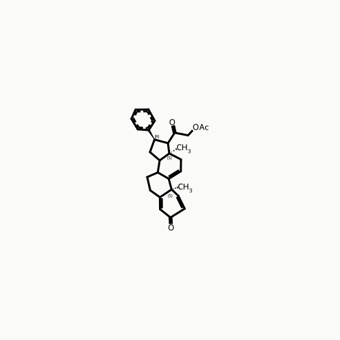 CC(=O)OCC(=O)C1[C@H](c2ccccc2)CC2C3CCC4=CC(=O)C=C[C@]4(C)C3=CC[C@@]21C